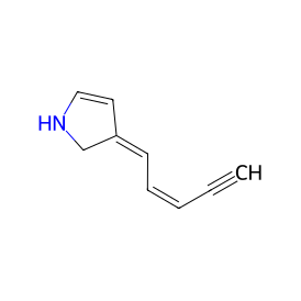 C#C/C=C\C=C1\C=CNC1